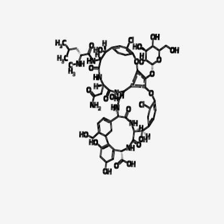 CN[C@H](CC(C)C)C(=O)N[C@H]1C(=O)N[C@@H](CC(N)=O)C(=O)N[C@H]2C(=O)N[C@H]3C(=O)N[C@H](C(=O)N[C@H](C(=O)O)C4=CC(O)CC(O)=C4C4CC3=CC=C4CO)[C@H](O)C3=CC=C(Oc4cc2cc(c4O[C@H]2OC(CO)C(O)[C@H](O)C2O)OC2=C(Cl)C=C(CC2)[C@H]1O)C(Cl)C3